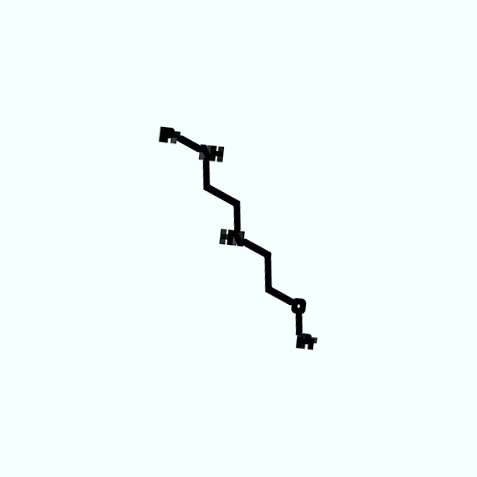 CC(C)NCCNCCOC(C)C